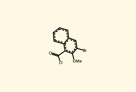 COc1c(Br)cc2ccccc2c1C(=O)Cl